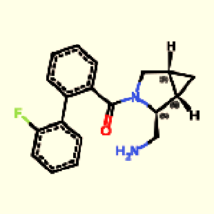 NC[C@@H]1[C@H]2C[C@H]2CN1C(=O)c1ccccc1-c1ccccc1F